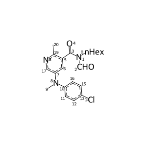 CCCCCCN(C=O)C(=O)c1cc(N(C)c2ccc(Cl)cc2)cnc1C